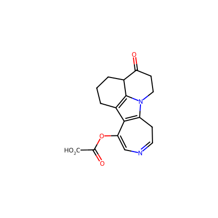 O=C(O)C(=O)OC1=CN=CCc2c1c1c3n2CCC(=O)C3CCC1